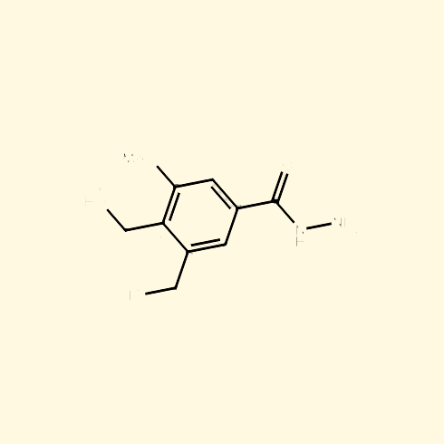 COc1cc(C(=O)NN)cc(CO)c1CO